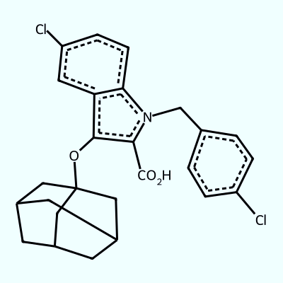 O=C(O)c1c(OC23CC4CC(CC(C4)C2)C3)c2cc(Cl)ccc2n1Cc1ccc(Cl)cc1